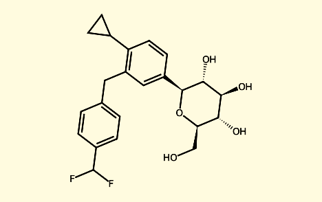 OC[C@H]1O[C@@H](c2ccc(C3CC3)c(Cc3ccc(C(F)F)cc3)c2)[C@H](O)[C@@H](O)[C@@H]1O